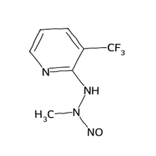 CN(N=O)Nc1ncccc1C(F)(F)F